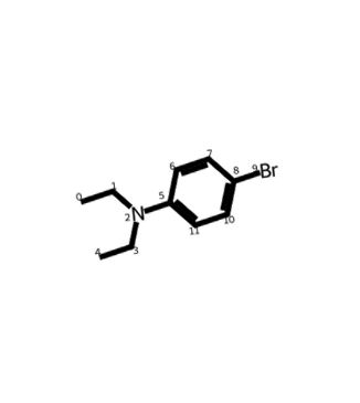 CCN(CC)c1ccc(Br)cc1